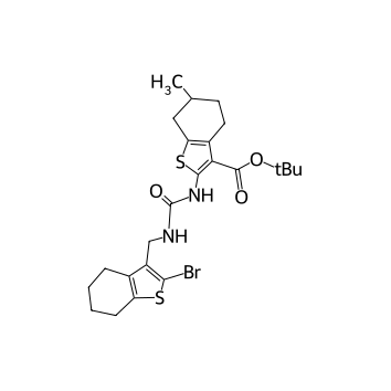 CC1CCc2c(sc(NC(=O)NCc3c(Br)sc4c3CCCC4)c2C(=O)OC(C)(C)C)C1